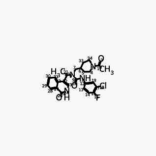 CC(=O)N1CCC(CN(C(=O)Nc2ccc(F)c(Cl)c2)C(C)c2c[nH]c(=O)c3ccccc23)CC1